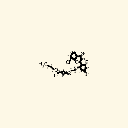 CCCCOC(=O)C1CC(OCCOc2cc(Br)cc(F)c2-c2cc(=O)c3cccc(Cl)c3o2)C1